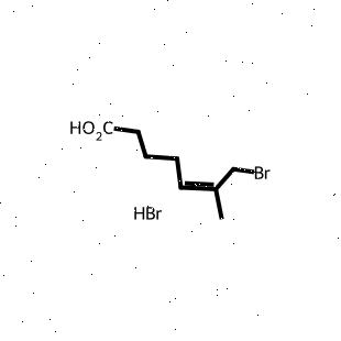 Br.CC(=CCCCC(=O)O)CBr